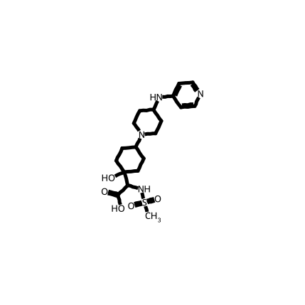 CS(=O)(=O)NC(C(=O)O)C1(O)CCC(N2CCC(Nc3ccncc3)CC2)CC1